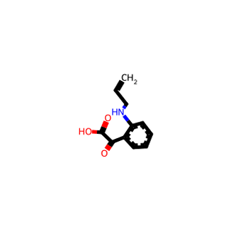 C=CCNc1ccccc1C(=O)C(=O)O